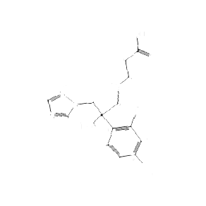 O=C(O)CCSCC(O)(Cn1cncn1)c1ccc(Cl)cc1Cl